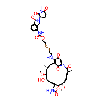 CO[C@H]1/C=C\C=C(/C)C(=O)NC2=CC(=O)C(NCCSSCCOC(=O)Nc3cccc4c3CN(C3CCC(=O)NC3=O)C4=O)=C(C[C@@H](C)C[C@H](OC)[C@@H](O)[C@@H](C)/C=C(\C)[C@@H]1OC(N)=O)C2=O